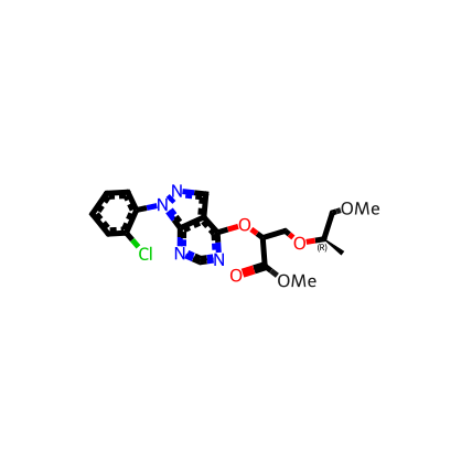 COC[C@@H](C)OCC(Oc1ncnc2c1cnn2-c1ccccc1Cl)C(=O)OC